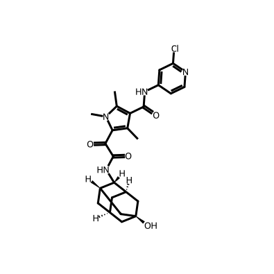 Cc1c(C(=O)Nc2ccnc(Cl)c2)c(C)n(C)c1C(=O)C(=O)N[C@@H]1[C@@H]2C[C@@H]3C[C@H]1C[C@@](O)(C3)C2